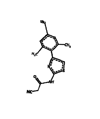 Cc1cc(C(C)(C)C)cc(C)c1-c1csc(NC(=O)CC#N)n1